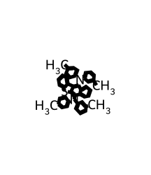 Cc1ccc(N(c2cccc(C)c2)c2c3ccccc3c(N(c3ccc(C)cc3)c3cccc(C)c3)c3c2sc2ccccc23)cc1